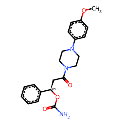 COc1ccc(N2CCN(C(=O)C[C@@H](OC(N)=O)c3ccccc3)CC2)cc1